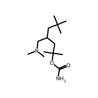 CN(C)CC(CC(C)(C)C)CC(C)(C)OC(N)=O